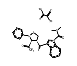 CN(C)C(=O)n1cc(C(=O)[C@@H]2CSN(c3cccnc3)[C@@H]2C(=O)C(F)(F)F)c2ccccc21.O=C(O)C(=O)O